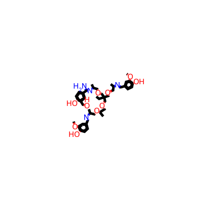 CCC(COCC(C)N=Cc1ccc(O)c(OC)c1)(COCC(C)/N=C(\N)c1ccc(O)c(CO)c1)COCC(C)OCC(C)/N=C/c1ccc(O)c(OC)c1